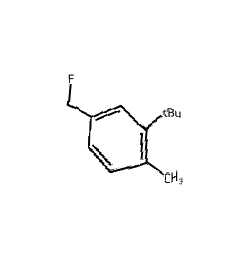 Cc1ccc(CF)cc1C(C)(C)C